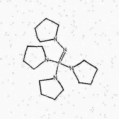 C1CCN(N=P(N2CCCC2)(N2CCCC2)N2CCCC2)C1